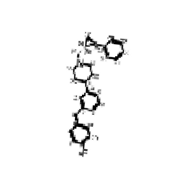 Fc1ccc(Cc2cccc(C3CCN(C[C@@H]4C[C@H]4c4ccccc4)CC3)c2)cc1